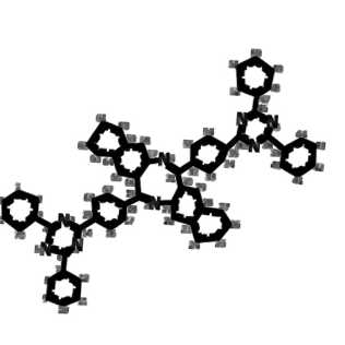 c1ccc(-c2nc(-c3ccccc3)nc(-c3ccc(/C4=N/c5cc6ccccc6cc5/C(c5ccc(-c6nc(-c7ccccc7)nc(-c7ccccc7)n6)cc5)=N\c5cc6ccccc6cc54)cc3)n2)cc1